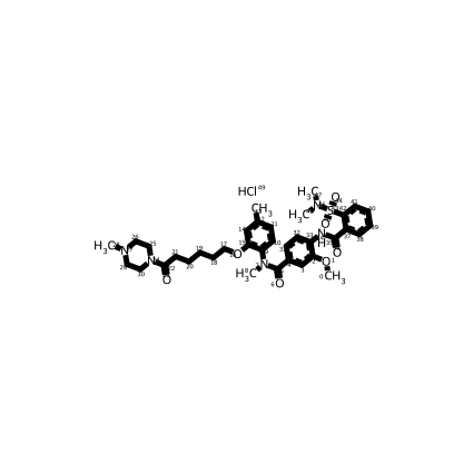 COc1cc(C(=O)N(C)c2ccc(C)cc2OCCCCCC(=O)N2CCN(C)CC2)ccc1NC(=O)c1ccccc1S(=O)(=O)N(C)C.Cl